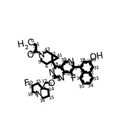 C=CC(=O)N1CCC2(c3nc(OC[C@@]45CCCN4C[C@H](F)C5)nc4c(F)c(-c5cc(O)cc6ccccc56)ncc34)CC2C1